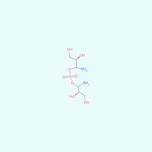 NC(OS(=O)(=O)OC(N)[C@H](O)CO)[C@H](O)CO